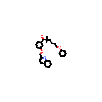 CC(C)(CCCCOc1ccccc1)C(=O)c1cccc(OCc2ccc3ccccc3n2)c1